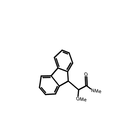 CNC(=O)C(OC)C1c2ccccc2-c2ccccc21